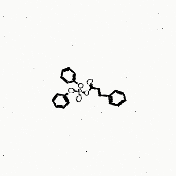 O=C(CCc1ccccc1)OP(=O)(Oc1ccccc1)Oc1ccccc1